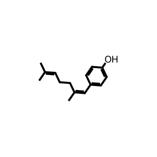 CC(C)=CCCC(C)=Cc1ccc(O)cc1